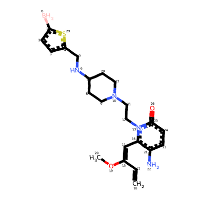 Bc1ccc(CNC2CCN(CCn3c(/C=C(\C=C)OC)c(N)ccc3=O)CC2)s1